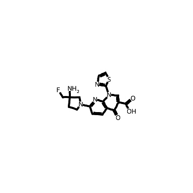 NC1(CF)CCN(c2ccc3c(=O)c(C(=O)O)cn(-c4nccs4)c3n2)C1